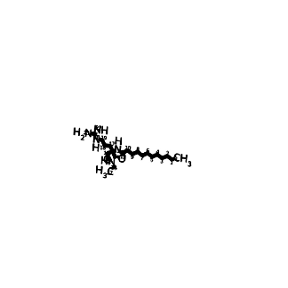 CCCCCCCCCCCC(=O)NC(C=O)(CCCNC(=N)N)CNCC